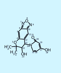 CC1(C)Oc2cc3nonc3cc2C(n2ccc(O)cc2=O)C1O